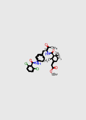 COC(=O)[C@H](Cc1ccc(NC(=O)c2c(Cl)cccc2Cl)cc1)NC(=O)C1=C(C)C(=CC(=O)OC(C)(C)C)CCC1(C)C